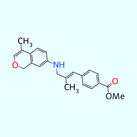 COC(=O)c1ccc(C=C(C)CNc2ccc3c(c2)COC=C3C)cc1